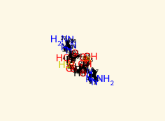 Nc1ncnc2c1ccn2[C@@H]1O[C@@H]2COP(=O)(S)O[C@@H]3C(COP(O)(=S)O[C@@H]1[C@@H]2O)O[C@@H](n1cnc2c(N)ncnc21)[C@@H]3O